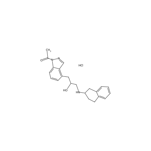 CC(=O)n1ncc2c(CC(O)CNC3CCc4ccccc4C3)cccc21.Cl